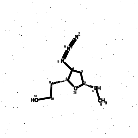 CB[C@H]1CC(N=[N+]=[N-])[C@@H](CCO)O1